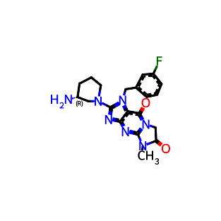 CN1C(=O)Cn2c1nc1nc(N3CCC[C@@H](N)C3)n(Cc3cccc(F)c3)c1c2=O